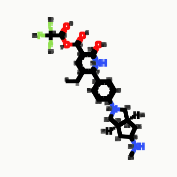 CCc1cc(C(=O)OC(=O)C(F)(F)F)c(=O)[nH]c1-c1ccc(N2C[C@H]3CC(NC)C[C@H]3C2)cc1